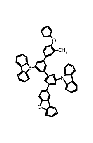 Cc1cc(-c2cc(B3c4ccccc4-c4ccccc43)cc(-c3cc(-c4ccc5oc6ccccc6c5c4)cc(-n4c5ccccc5c5ccccc54)c3)c2)ccc1OC1C=CC=CC1